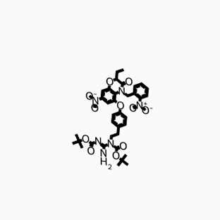 CCC1Oc2cc([N+](=O)[O-])cc(Oc3ccc(CCN(C(=O)OC(C)(C)C)C(N)=NC(=O)OC(C)(C)C)cc3)c2N(Cc2ccccc2[N+](=O)[O-])C1=O